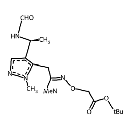 CN/C(Cc1c([C@H](C)NC=O)cnn1C)=N\OCC(=O)OC(C)(C)C